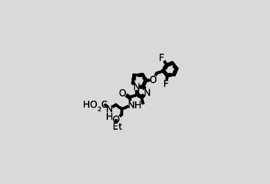 CCOCC(CNC(=O)O)NC(=O)c1c(C)nc2c(OCc3c(F)cccc3F)cccn12